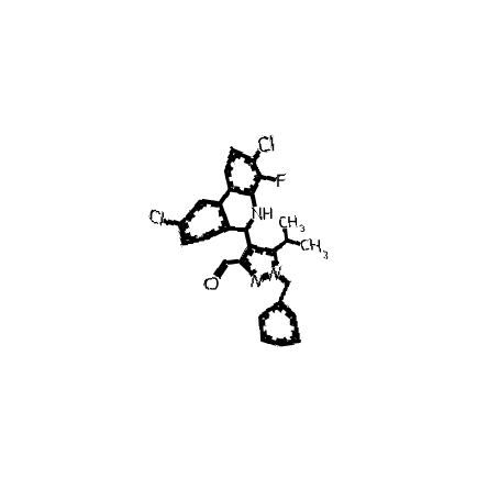 CC(C)c1c(C2Nc3c(ccc(Cl)c3F)-c3cc(Cl)ccc32)c(C=O)nn1Cc1ccccc1